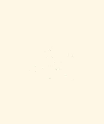 Cc1cccc(-c2c(-c3c4ccccc4c(-c4sc5ccccc5c4-c4cccc(C)c4)c4cc5ccccc5cc34)sc3ccccc23)c1